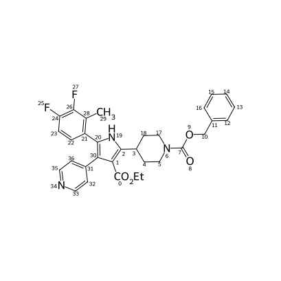 CCOC(=O)c1c(C2CCN(C(=O)OCc3ccccc3)CC2)[nH]c(-c2ccc(F)c(F)c2C)c1-c1ccncc1